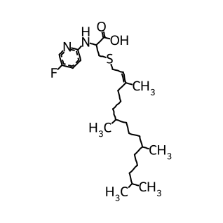 CC(=CCSCC(Nc1ccc(F)cn1)C(=O)O)CCCC(C)CCCC(C)CCCC(C)C